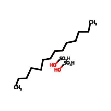 CCCCCCCCCCCCCC.O=S(=O)(O)O.O=S(=O)(O)O